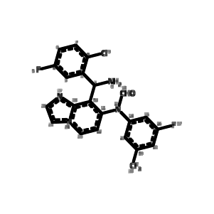 NC(c1cc(F)ccc1Cl)c1c(N(C=O)c2cc(F)cc(C(F)(F)F)c2)ccn2ccnc12